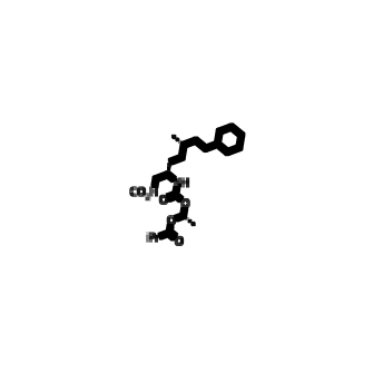 CC(C)C(=O)O[C@@H](C)OC(=O)N[C@@H](CC[C@H](C)CCC1CCCCC1)CC(=O)O